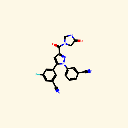 N#Cc1cc(F)cc(-c2cc(C(=O)N3CNC(=O)C3)nn2-c2cccc(C#N)c2)c1